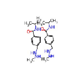 CNNCc1ccc(C(=O)NC(C)C)cc1.CNNCc1ccc(C(=O)NC(C)C)cc1